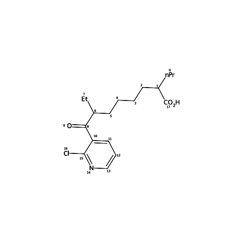 CCCC(CCCCC(CC)C(=O)c1cccnc1Cl)C(=O)O